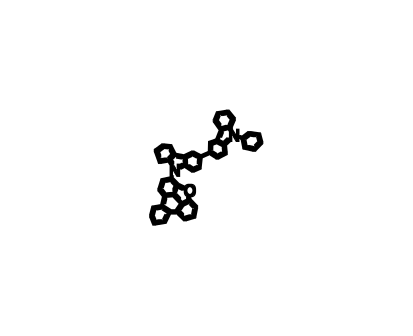 c1ccc(-n2c3ccccc3c3cc(-c4ccc5c(c4)c4ccccc4n5-c4ccc5c6ccccc6c6cccc7oc4c5c76)ccc32)cc1